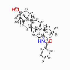 Cc1ccc(C(=O)N[C@]23CCC(C)(C)C[C@H]2C2=CC[C@@H]4[C@@]5(C)CC[C@H](O)C(C)(C)[C@@H]5CC[C@@]4(C)[C@]2(C)CC3)cc1